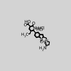 CCc1cc(C(=O)O)c(=O)[nH]c1-c1ccc2c(c1)cc(CN1CC[C@H](N)C1)n2C.Cl.Cl